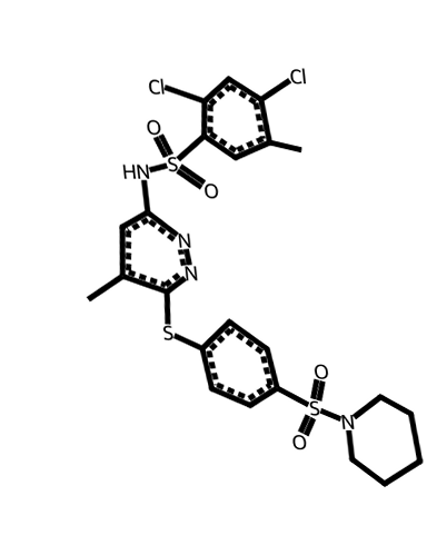 Cc1cc(S(=O)(=O)Nc2cc(C)c(Sc3ccc(S(=O)(=O)N4CCCCC4)cc3)nn2)c(Cl)cc1Cl